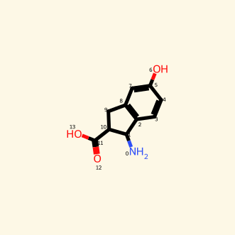 NC1c2ccc(O)cc2CC1C(=O)O